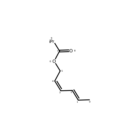 C/C=C/C=C\COC(=O)C(C)C